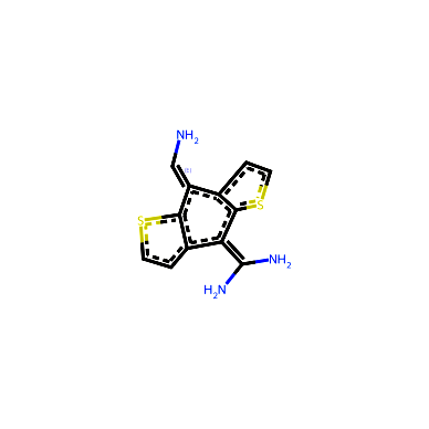 N/C=c1\c2ccsc2c(=C(N)N)c2ccsc12